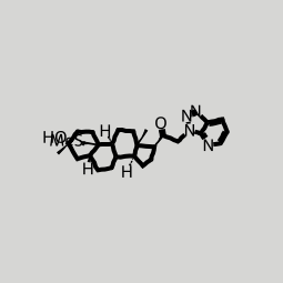 CSC[C@]12CC[C@@](C)(O)C[C@H]1CCC1[C@@H]3CC[C@H](C(=O)Cn4nnc5cccnc54)[C@@]3(C)CC[C@@H]12